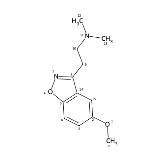 COc1ccc2onc(CCN(C)C)c2c1